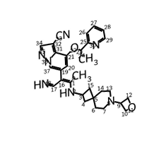 C/C(NC1CC2(CCN(C3COC3)CC2)C1)=C(/C=N)c1cc(O[C@H](C)c2ccccn2)c2c(C#N)cnn2c1